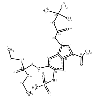 CCOP(=O)(COc1cc2c(cc1NS(C)(=O)=O)c(C(C)=O)cn2CC(=O)OC(C)(C)C)OCC